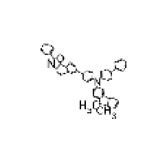 CC1(C)c2ccccc2-c2cc(N(c3ccc(-c4ccccc4)cc3)c3ccc(-c4ccc5c(ccc6nc(-c7ccccc7)oc65)c4)cc3)ccc21